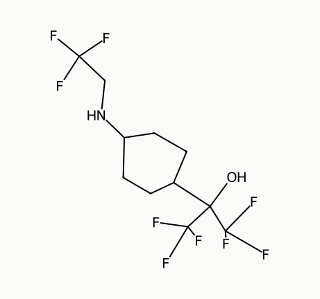 OC(C1CCC(NCC(F)(F)F)CC1)(C(F)(F)F)C(F)(F)F